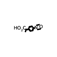 C[C@@H](C(=O)O)c1ccc(N2CCOCC2)cc1